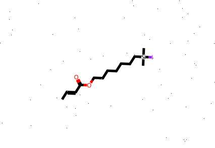 CC=CC(=O)OCCCCCCC[Si](C)(C)I